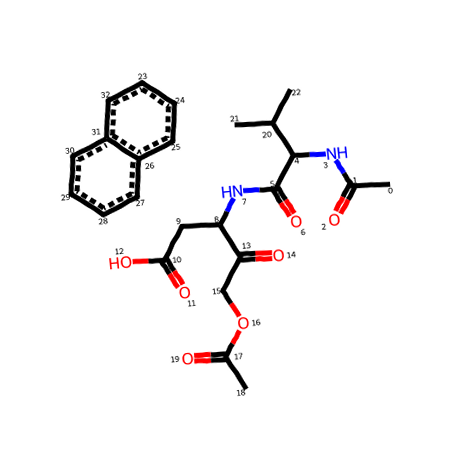 CC(=O)NC(C(=O)NC(CC(=O)O)C(=O)COC(C)=O)C(C)C.c1ccc2ccccc2c1